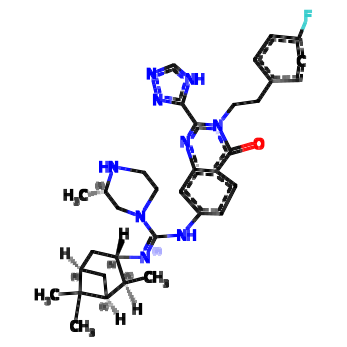 C[C@@H]1[C@@H](/N=C(/Nc2ccc3c(=O)n(CCc4ccc(F)cc4)c(-c4nnc[nH]4)nc3c2)N2CCN[C@@H](C)C2)C[C@H]2C[C@@H]1C2(C)C